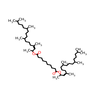 CC(=CC(C)OC(=O)CCCCCCCCC(=O)OC(C)C=C(C)CCCC(C)CCCC(C)CCCC(C)C)CCCC(C)CCCC(C)CCCC(C)C